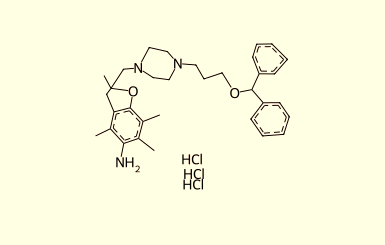 Cc1c(C)c2c(c(C)c1N)CC(C)(CN1CCN(CCCOC(c3ccccc3)c3ccccc3)CC1)O2.Cl.Cl.Cl